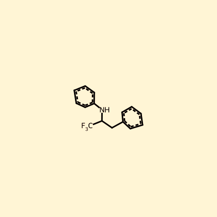 FC(F)(F)C(Cc1ccccc1)Nc1ccccc1